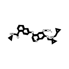 COc1cc2c(Oc3ccc4c(C(=O)NC5CC5)cccc4c3)ccnc2cc1OCC1(NCC2CC2)CC1